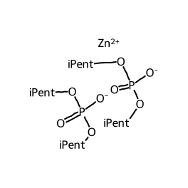 CCCC(C)OP(=O)([O-])OC(C)CCC.CCCC(C)OP(=O)([O-])OC(C)CCC.[Zn+2]